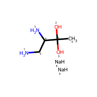 CC(O)(O)C(N)CN.[NaH].[NaH]